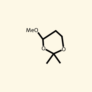 COC1CCOC(C)(C)O1